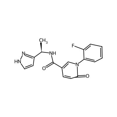 C[C@@H](NC(=O)c1ccc(=O)n(-c2ccccc2F)c1)c1cc[nH]n1